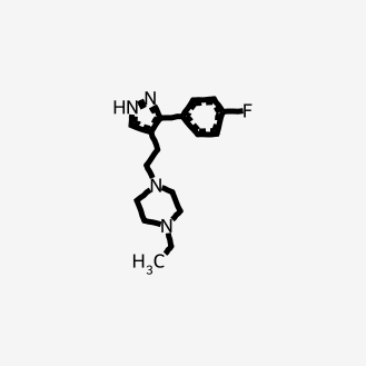 CCN1CCN(CCc2c[nH]nc2-c2ccc(F)cc2)CC1